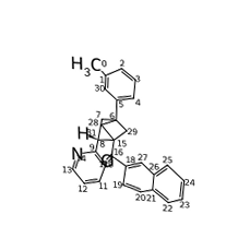 Cc1cccc(C23C[C@@H](c4ccccn4)C(C(=O)c4ccc5ccccc5c4)(C2)C3)c1